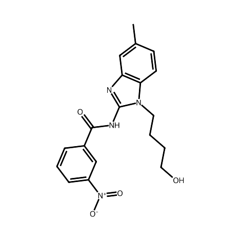 Cc1ccc2c(c1)nc(NC(=O)c1cccc([N+](=O)[O-])c1)n2CCCCO